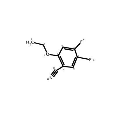 CCOc1cc(F)c(F)cc1C#N